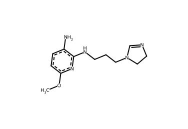 COc1ccc(N)c(NCCCN2C=NCC2)n1